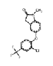 CN1C(=O)Cc2cc(Oc3ccc(C(F)(F)F)cc3Cl)ccc21